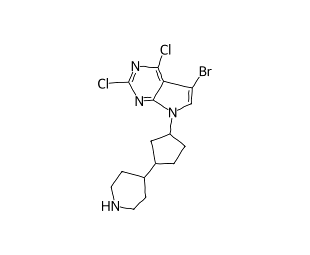 Clc1nc(Cl)c2c(Br)cn(C3CCC(C4CCNCC4)C3)c2n1